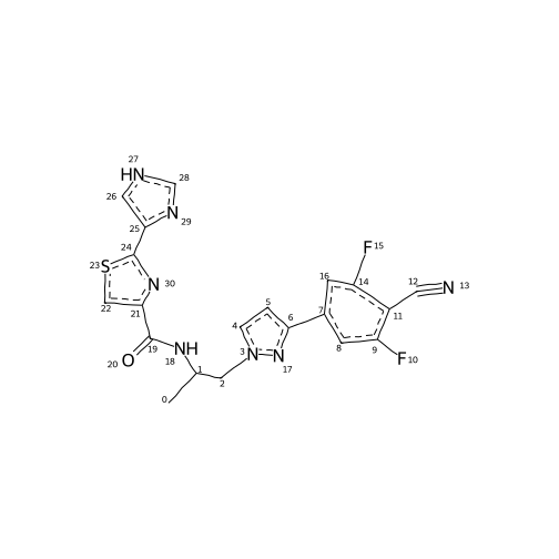 CC(Cn1ccc(-c2cc(F)c(C#N)c(F)c2)n1)NC(=O)c1csc(-c2c[nH]cn2)n1